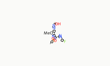 COc1cc(N2CCN(C[C@H](C)O)CC2)ccc1-c1cnc2c(c1)c(-c1cnn(Cc3cccc(F)c3)c1)cn2S(=O)(=O)c1ccc(C)cc1